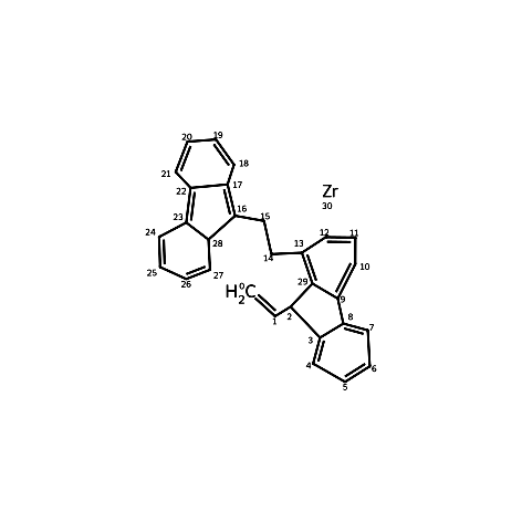 C=CC1c2ccccc2-c2cccc(CCC3=c4ccccc4=C4C=CC=CC43)c21.[Zr]